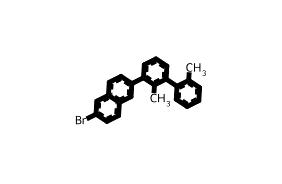 Cc1ccccc1-c1cccc(-c2ccc3cc(Br)ccc3c2)c1C